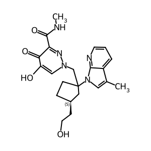 CNC(=O)c1nn(CC2(n3cc(C)c4cccnc43)CC[C@H](CCO)C2)cc(O)c1=O